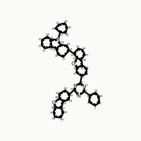 c1ccc(-c2nc(-c3ccc4c(c3)oc3c(-c5ccc6c7ccccc7n(-c7ccccc7)c6c5)cccc34)nc(-c3ccc4oc5ccccc5c4c3)n2)cc1